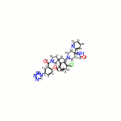 COc1ccc(-n2cnnn2)cc1C(=O)N1CCC(CCN2CCC(NC=O)(c3ccccn3)CC2)(c2cccc(Cl)c2)C1